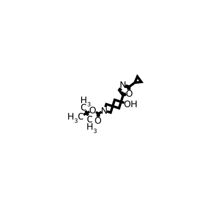 CC(C)(C)OC(=O)N1CC2(C1)CC(O)(c1cnc(C3CC3)o1)C2